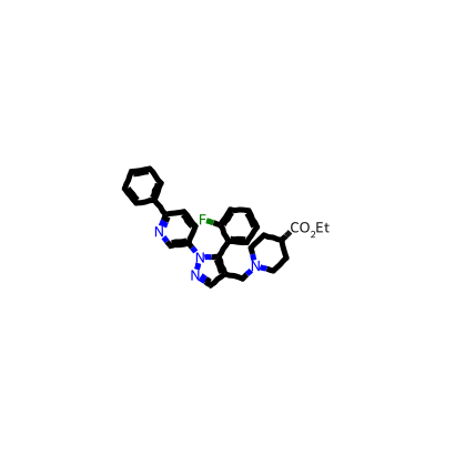 CCOC(=O)C1CCN(Cc2cnn(-c3ccc(-c4ccccc4)nc3)c2-c2ccccc2F)CC1